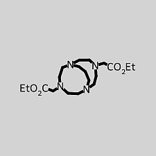 CCOC(=O)CN1CCN2CCCN(CC1)CCN(CC(=O)OCC)CC2